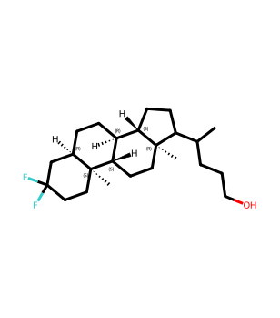 CC(CCCO)C1CC[C@H]2[C@@H]3CC[C@@H]4CC(F)(F)CC[C@]4(C)[C@H]3CC[C@]12C